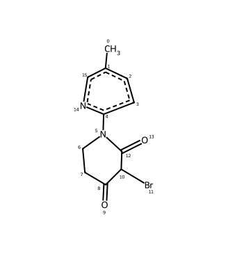 Cc1ccc(N2CCC(=O)C(Br)C2=O)nc1